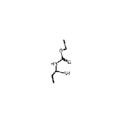 CCOC(=O)NC(S)CC